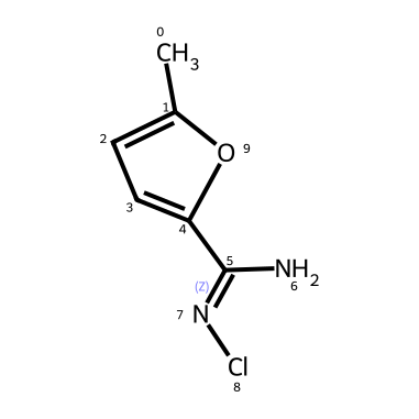 Cc1ccc(/C(N)=N/Cl)o1